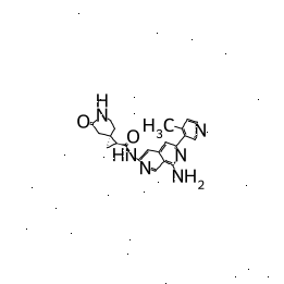 Cc1ccncc1-c1cc2cc(NC(=O)[C@H]3C[C@]34CCNC(=O)C4)ncc2c(N)n1